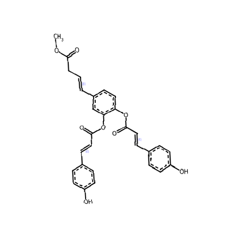 COC(=O)C/C=C/c1ccc(OC(=O)/C=C/c2ccc(O)cc2)c(OC(=O)/C=C/c2ccc(O)cc2)c1